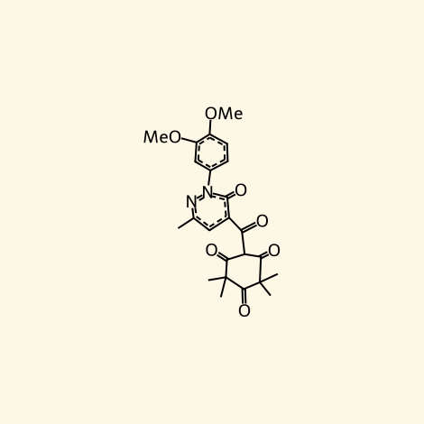 COc1ccc(-n2nc(C)cc(C(=O)C3C(=O)C(C)(C)C(=O)C(C)(C)C3=O)c2=O)cc1OC